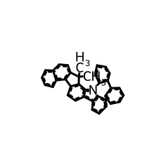 CC1(C)c2ccc3ccccc3c2-c2ccc3c4ccccc4n(-c4ccccc4-c4ccccc4)c3c21